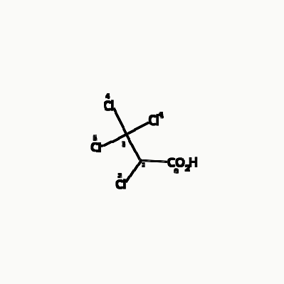 O=C(O)C(Cl)C(Cl)(Cl)Cl